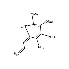 C=C/C=C1/C(=O)C(OC)=C(OC)C(O)=C1N